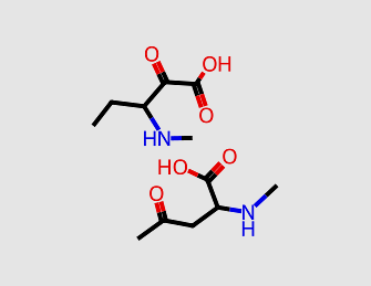 CCC(NC)C(=O)C(=O)O.CNC(CC(C)=O)C(=O)O